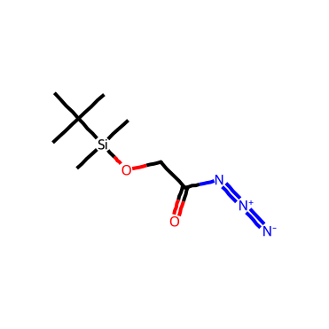 CC(C)(C)[Si](C)(C)OCC(=O)N=[N+]=[N-]